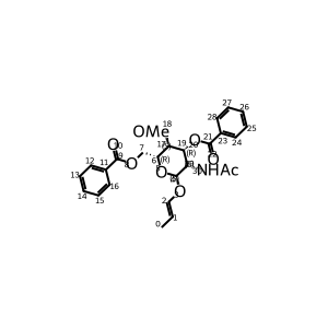 CC=CO[C@H]1O[C@H](COC(=O)c2ccccc2)[C@@H](OC)[C@H](OC(=O)c2ccccc2)[C@@H]1NC(C)=O